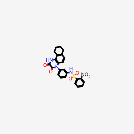 O=c1[nH]c2c3c(ccc2n(-c2cccc(NS(=O)(=O)c4ccccc4[N+](=O)[O-])c2)c1=O)CCCC3